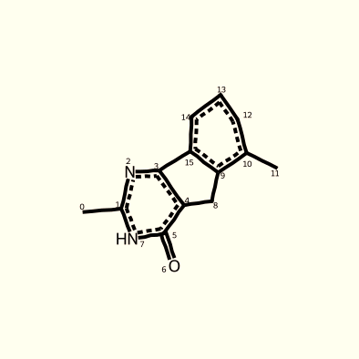 Cc1nc2c(c(=O)[nH]1)Cc1c(C)cccc1-2